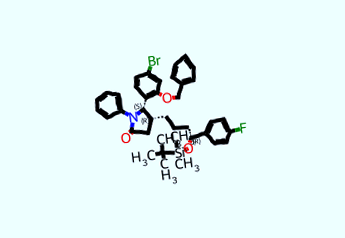 CC(C)(C)[Si](C)(C)O[C@H](CCC[C@@H]1CC(=O)N(c2ccccc2)[C@@H]1c1ccc(Br)cc1OCc1ccccc1)c1ccc(F)cc1